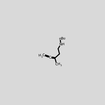 C=C=C(C)CCNCCCC